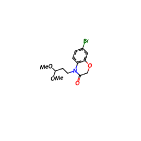 COC(CCN1C(=O)COc2cc(Br)ccc21)OC